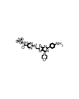 CN(Cc1nc2c(N3CCOCC3)nc(-c3ccc(N)cc3)nc2n1C)c1ncc(C(=O)NOS(C)(=O)=O)cn1